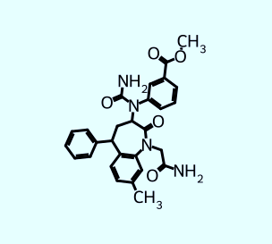 COC(=O)c1cccc(N(C(N)=O)C2CC(c3ccccc3)c3ccc(C)cc3N(CC(N)=O)C2=O)c1